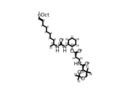 CCCCCCCCC=CCCCCCCC(C)NC(=O)N[C@H]1CCCC[C@@H]1OC(=O)CCNC(=O)C1OC(C)(C)OCC1(C)C